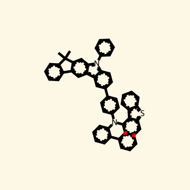 CC1(C)c2ccccc2-c2cc3c4cc(-c5ccc(N(c6ccccc6-c6ccccc6)c6cccc7sc8ccccc8c67)cc5)ccc4n(-c4ccccc4)c3cc21